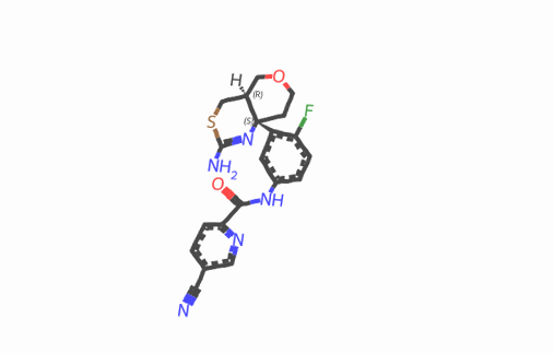 N#Cc1ccc(C(=O)Nc2ccc(F)c([C@]34CCOC[C@@H]3CSC(N)=N4)c2)nc1